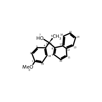 COc1ccc([C@](C)(O)c2cccc3ccccc23)cc1